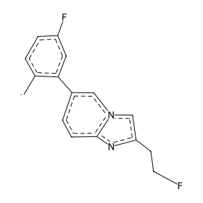 [CH2]c1ccc(F)cc1-c1ccc2nc(CCF)cn2c1